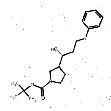 CC(C)(C)OC(=O)N1CCC([C@H](O)CCSc2ccccc2)C1